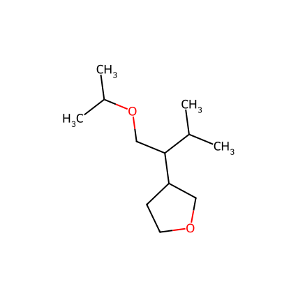 CC(C)OCC(C(C)C)C1CCOC1